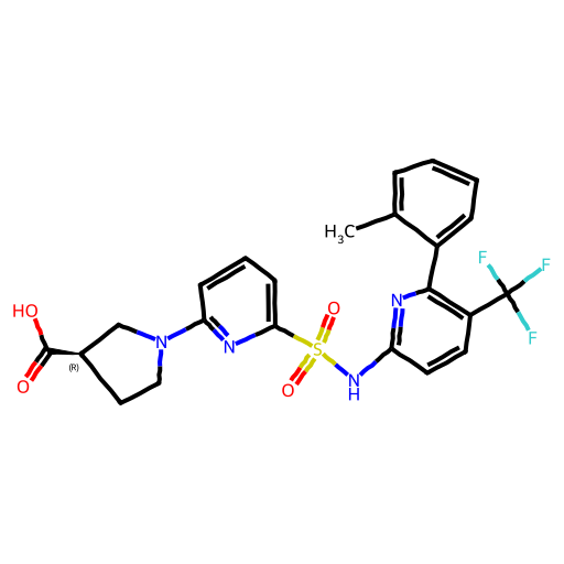 Cc1ccccc1-c1nc(NS(=O)(=O)c2cccc(N3CC[C@@H](C(=O)O)C3)n2)ccc1C(F)(F)F